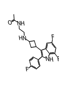 CC(=O)NCCNC1CC(c2c(-c3ccc(F)cc3)[nH]c3c(F)cc(F)cc23)C1